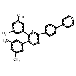 Cc1cc(C)cc(-c2ncc(-c3ccc(-c4ccccc4)cc3)nc2-c2cc(C)cc(C)c2)c1